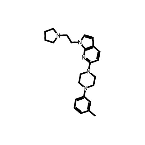 Cc1cccc(N2CCN(c3ccc4ccn(CCN5CCCC5)c4n3)CC2)c1